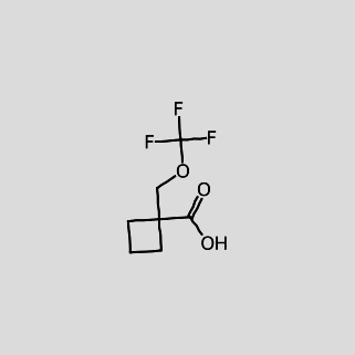 O=C(O)C1(COC(F)(F)F)CCC1